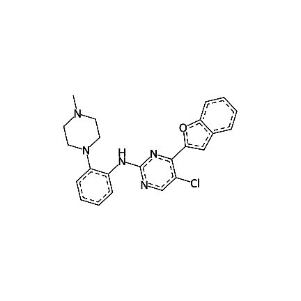 CN1CCN(c2ccccc2Nc2ncc(Cl)c(-c3cc4ccccc4o3)n2)CC1